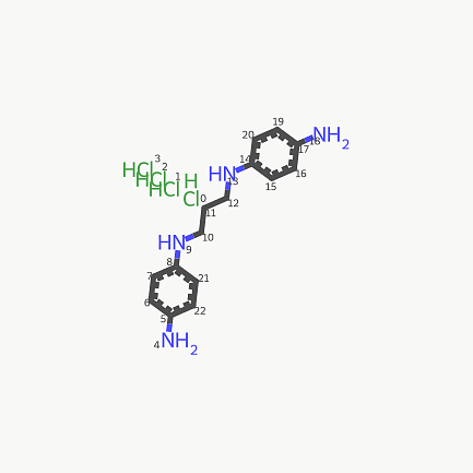 Cl.Cl.Cl.Cl.Nc1ccc(NCCCNc2ccc(N)cc2)cc1